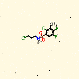 Cc1c(F)c(F)cc(S(=O)(=O)N(CCCCl)C(C)C)c1F